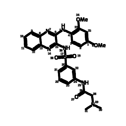 COc1ccc(Nc2nc3ccccc3nc2NS(=O)(=O)c2cccc(NC(=O)CN(C)C)c2)c(OC)c1